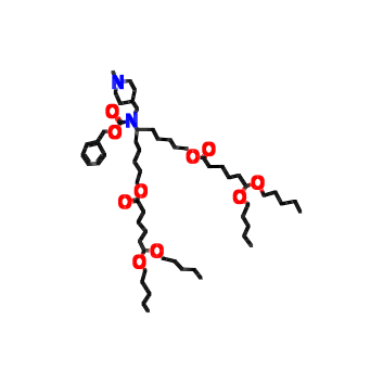 CCCCCOC(CCCCC(=O)OCCCCCC(CCCCCOC(=O)CCCCC(OCCCCC)OCCCCC)N(CC1CCN(C)CC1)C(=O)OCc1ccccc1)OCCCCC